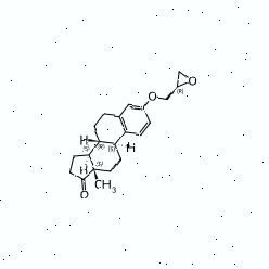 C[C@]12CC[C@@H]3c4ccc(OC[C@H]5CO5)cc4CC[C@H]3[C@@H]1CCC2=O